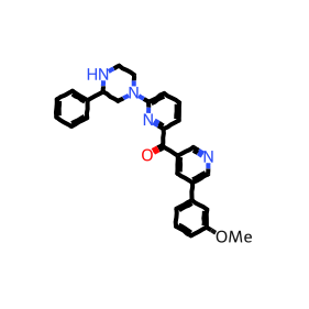 COc1cccc(-c2cncc(C(=O)c3cccc(N4CCNC(c5ccccc5)C4)n3)c2)c1